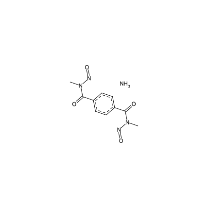 CN(N=O)C(=O)c1ccc(C(=O)N(C)N=O)cc1.N